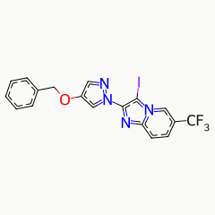 FC(F)(F)c1ccc2nc(-n3cc(OCc4ccccc4)cn3)c(I)n2c1